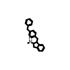 CNC1Cc2ccccc2C1Cc1ccc(Cc2ccccc2)cc1